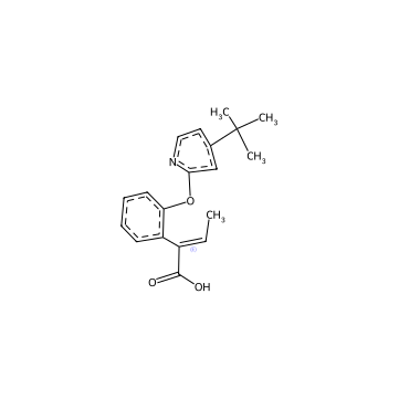 C/C=C(/C(=O)O)c1ccccc1Oc1cc(C(C)(C)C)ccn1